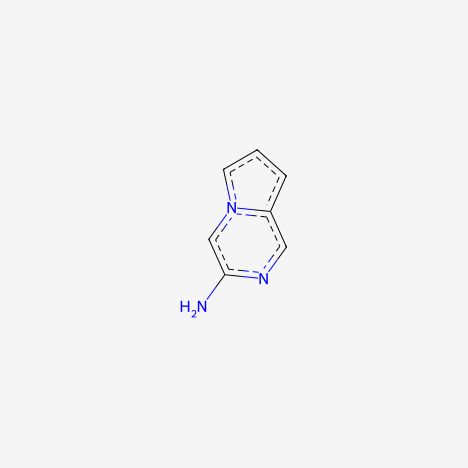 Nc1cn2cccc2cn1